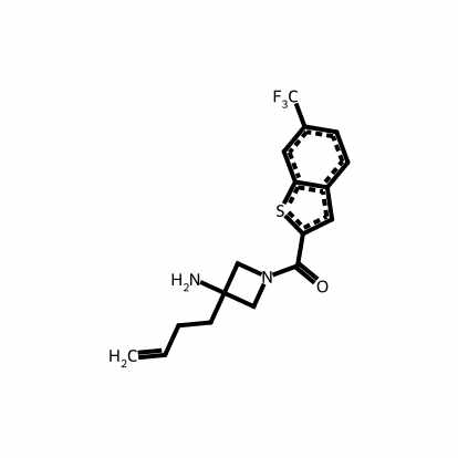 C=CCCC1(N)CN(C(=O)c2cc3ccc(C(F)(F)F)cc3s2)C1